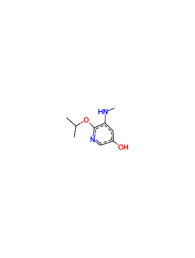 CNc1cc(O)cnc1OC(C)C